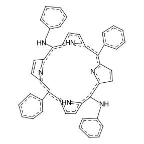 C1=Cc2nc1c(Nc1ccccc1)c1ccc([nH]1)c(-c1ccccc1)c1nc(c(Nc3ccccc3)c3ccc([nH]3)c2-c2ccccc2)C=C1